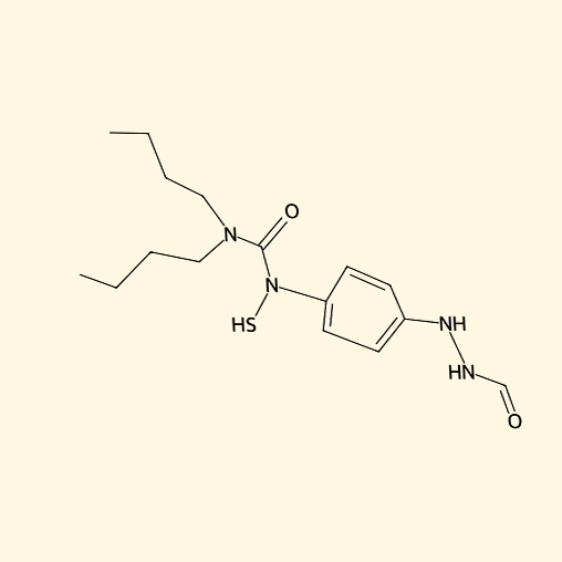 CCCCN(CCCC)C(=O)N(S)c1ccc(NNC=O)cc1